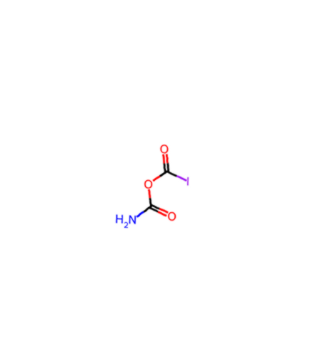 NC(=O)OC(=O)I